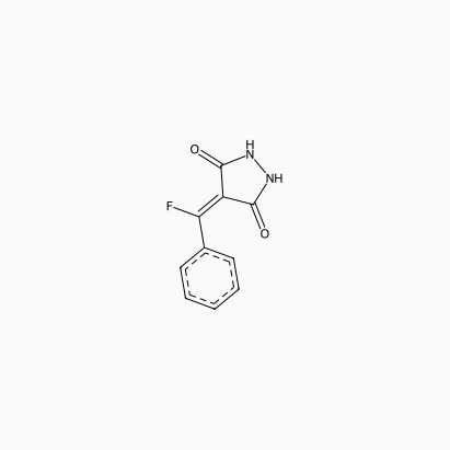 O=C1NNC(=O)C1=C(F)c1ccccc1